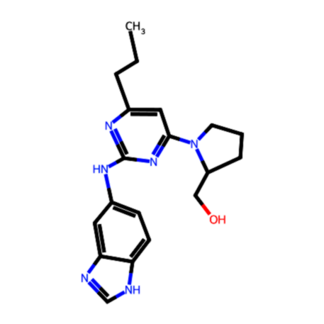 CCCc1cc(N2CCCC2CO)nc(Nc2ccc3[nH]cnc3c2)n1